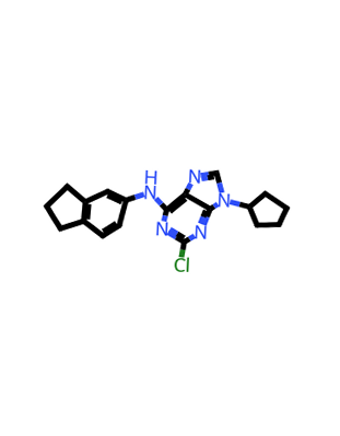 Clc1nc(Nc2ccc3c(c2)CCC3)c2ncn(C3CCCC3)c2n1